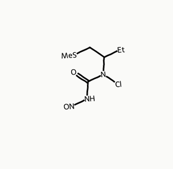 CCC(CSC)N(Cl)C(=O)NN=O